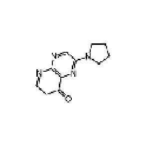 O=C1CC=Nc2ncc(N3CCCC3)nc21